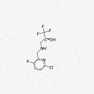 O[C@@H](CNCc1nc(Cl)ccc1F)C(F)(F)F